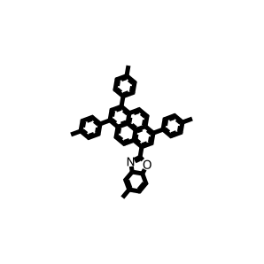 CC1=CC2N=C(c3cc(-c4ccc(C)cc4)c4ccc5c(-c6ccc(C)cc6)cc(-c6ccc(C)cc6)c6ccc3c4c65)OC2C=C1